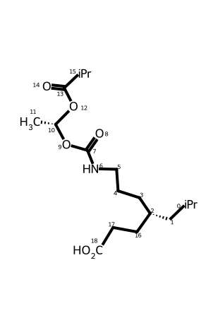 CC(C)C[C@@H](CCCNC(=O)O[C@H](C)OC(=O)C(C)C)CCC(=O)O